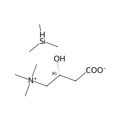 C[N+](C)(C)C[C@H](O)CC(=O)[O-].C[SiH](C)C